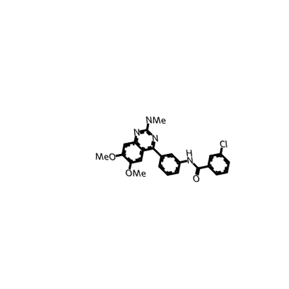 CNc1nc(-c2cccc(NC(=O)c3cccc(Cl)c3)c2)c2cc(OC)c(OC)cc2n1